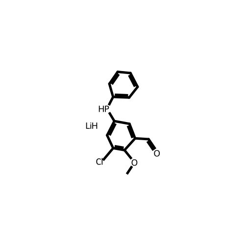 COc1c(Cl)cc(Pc2ccccc2)cc1C=O.[LiH]